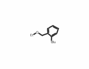 CCOCc1ccccc1C(C)(C)C